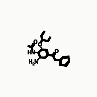 CCC(CC)O[C@@H]1C=C(C(=O)Cc2ccccc2)C[C@H](N)[C@H]1NC(C)=O